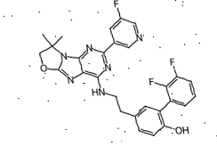 CC1(C)COc2nc3c(NCCc4ccc(O)c(-c5cccc(F)c5F)c4)nc(-c4cncc(F)c4)nc3n21